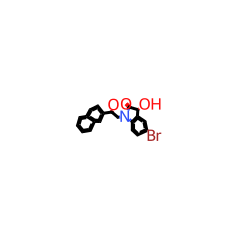 O=C(CN1C(=O)C(O)c2cc(Br)ccc21)c1ccc2ccccc2c1